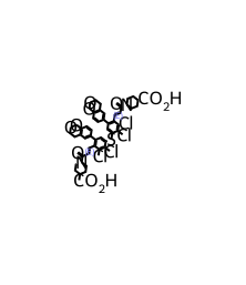 O=C(O)C1CCN(C(=O)/C=C/c2c(-c3ccc4c(c3)CCOO4)cc(Sc3cc(-c4ccc5c(c4)CCOO5)c(/C=C/C(=O)N4CCC(C(=O)O)CC4)c(Cl)c3Cl)c(Cl)c2Cl)CC1